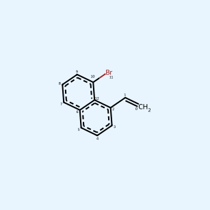 C=Cc1cccc2cccc(Br)c12